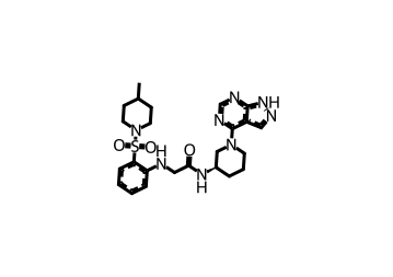 CC1CCN(S(=O)(=O)c2ccccc2NCC(=O)N[C@@H]2CCCN(c3ncnc4[nH]ncc34)C2)CC1